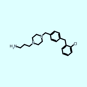 NCCCN1CCN(Cc2ccc(Cc3ccccc3Cl)cc2)CC1